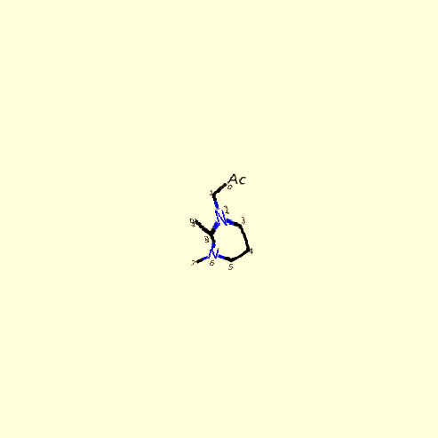 CC(=O)CN1CCCN(C)C1C